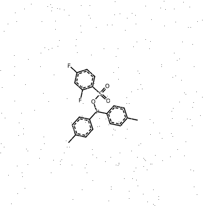 Cc1ccc([I+](OS(=O)(=O)c2ccc(F)cc2F)c2ccc(C)cc2)cc1